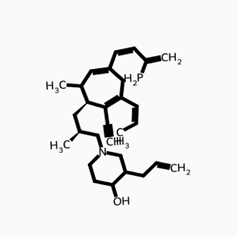 C#CC1=C(/C=C\C)CC(/C=C\C(=C)P)=CC(C)[C@@H]1C[C@H](C)CN1CCC(O)C(CC=C)C1